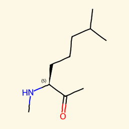 CN[C@@H](CCCC(C)C)C(C)=O